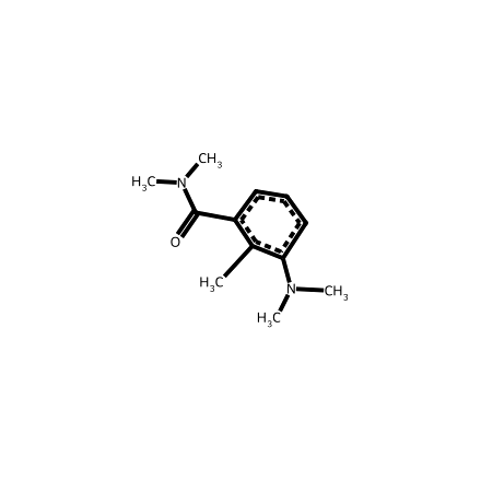 Cc1c(C(=O)N(C)C)cccc1N(C)C